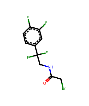 O=C(CBr)NCC(F)(F)c1ccc(F)c(F)c1